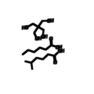 CC(C)CCCC(=O)O.CCCCCC(=O)O.OCC(CO)(CO)CO